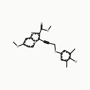 COC(=O)c1nc2cc(OC)ccn2c1C#CCOc1cc(C)c(Cl)c(C)c1